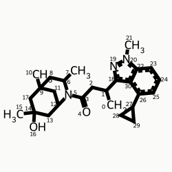 CC(CC(=O)N1C(C)CC2(C)CC1CC(C)(O)C2)c1nn(C)c2cccc(C3CC3)c12